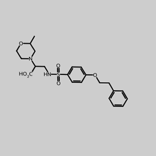 CC1CN(C(CNS(=O)(=O)c2ccc(OCCc3ccccc3)cc2)C(=O)O)CCO1